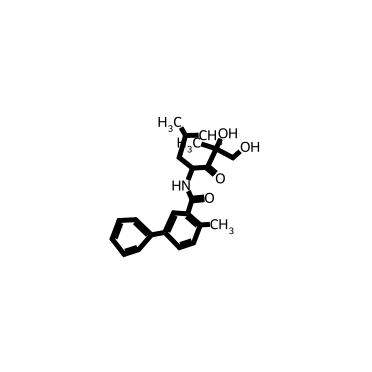 Cc1ccc(-c2ccccc2)cc1C(=O)NC(CC(C)C)C(=O)C(C)(O)CO